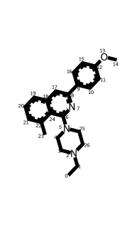 CCN1CCN(c2nc(-c3ccc(OC)cc3)cc3cccc(C)c23)CC1